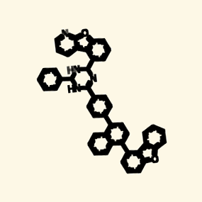 c1ccc(C2NC(c3ccc(-c4ccc(-c5cccc6oc7ccccc7c56)c5ccccc45)cc3)=NC(c3cccc4oc5ncccc5c34)N2)cc1